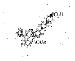 COCOc1ccc(F)cc1[C@H](C(=O)Nc1nccs1)N1Cc2ccc(-c3ccc(N4CCN(C(=O)O)CC4)cc3)cc2C1=O